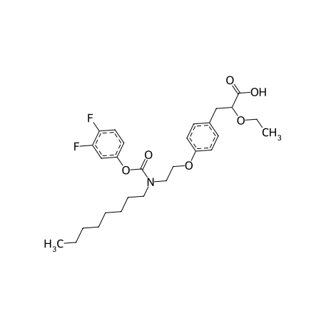 CCCCCCCCN(CCOc1ccc(CC(OCC)C(=O)O)cc1)C(=O)Oc1ccc(F)c(F)c1